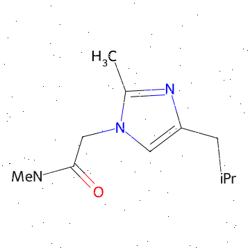 CNC(=O)Cn1cc(CC(C)C)nc1C